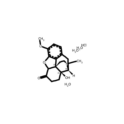 COc1ccc2c3c1OC1C(=O)CC[C@@]4(O)[C@@H](C2)N(C)CC[C@]314.Cl.O.O.O